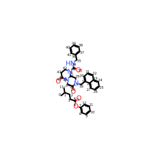 CC(CCC(=O)Oc1ccccc1)C[C@H]1C(=O)N(Cc2cccc3ccccc23)CC2N(C(=O)NCc3ccccc3)CCC(=O)N21